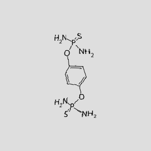 NP(N)(=S)Oc1ccc(OP(N)(N)=S)cc1